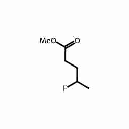 COC(=O)CCC(C)F